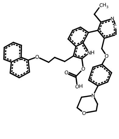 CCc1nccc(COc2ccc(N3CCOCC3)cc2)c1-c1cccc2c(CCCOc3cccc4ccccc34)c(OC(=O)O)[nH]c12